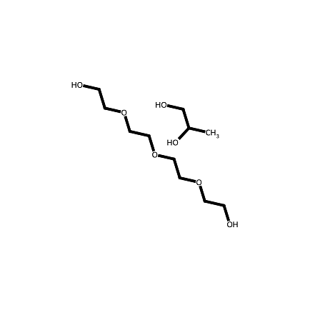 CC(O)CO.OCCOCCOCCOCCO